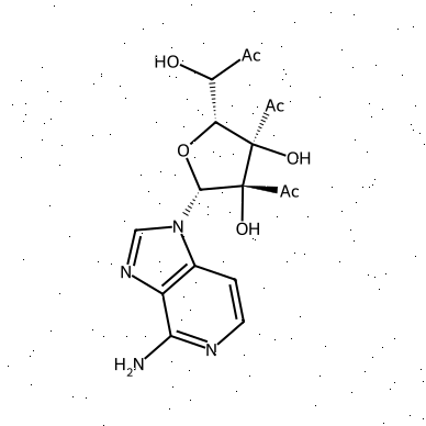 CC(=O)C(O)[C@H]1O[C@@H](n2cnc3c(N)nccc32)[C@](O)(C(C)=O)[C@@]1(O)C(C)=O